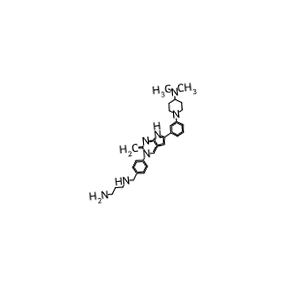 C=C1N=c2[nH]c(-c3cccc(N4CCC(N(C)C)CC4)c3)cc2=CN1c1ccc(CNCCCN)cc1